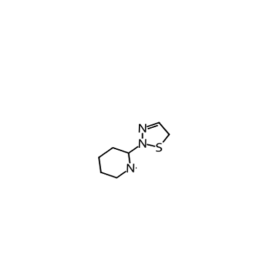 C1=NN(C2CCCC[N]2)SC1